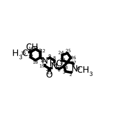 CN1CCC(O)(CN2CCN(C3CCC(C)(C)CC3)CC2=O)C2(CCCC2)C1